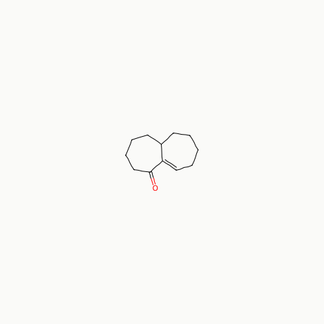 O=C1CCCCC2CCCCC=C12